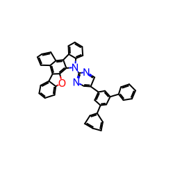 c1ccc(-c2cc(-c3ccccc3)cc(-c3cnc(-n4c5ccccc5c5c6ccccc6c6c7ccccc7oc6c54)nc3)c2)cc1